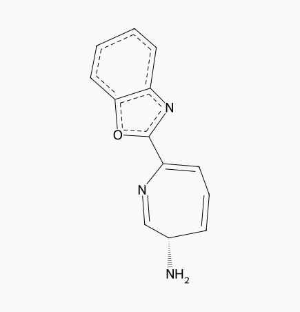 N[C@H]1C=CC=C(c2nc3ccccc3o2)N=C1